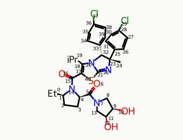 CC[C@@H]1CC[C@H](C(=O)N2C[C@@H](O)[C@@H](O)C2)N1C(=O)C1=C(C(C)C)N2C(=N[C@@](C)(c3ccc(Cl)cc3)[C@H]2c2ccc(Cl)cc2)S1